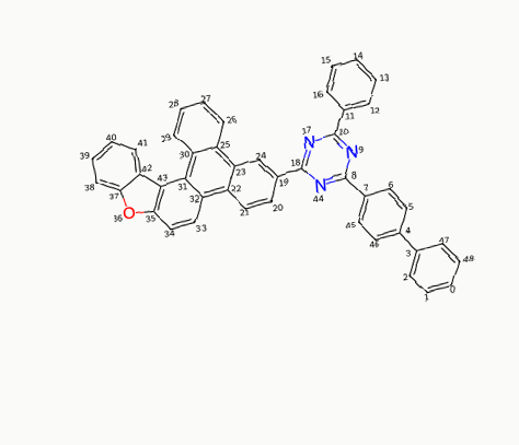 c1ccc(-c2ccc(-c3nc(-c4ccccc4)nc(-c4ccc5c(c4)c4ccccc4c4c5ccc5oc6ccccc6c54)n3)cc2)cc1